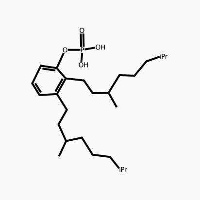 CC(C)CCCC(C)CCc1cccc(OP(=O)(O)O)c1CCC(C)CCCC(C)C